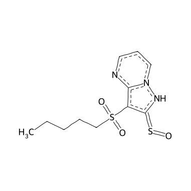 CCCCCS(=O)(=O)c1c(=S=O)[nH]n2cccnc12